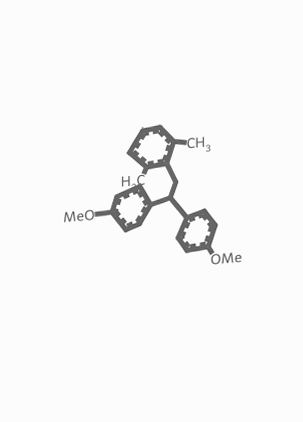 COc1ccc(C(Cc2c(C)c[c]cc2C)c2ccc(OC)cc2)cc1